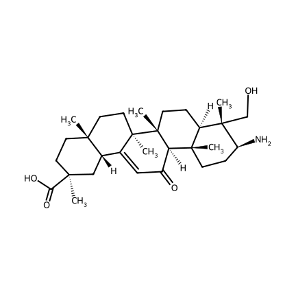 C[C@]1(C(=O)O)CC[C@]2(C)CC[C@]3(C)C(=CC(=O)[C@@H]4[C@@]5(C)CC[C@H](N)[C@@](C)(CO)[C@@H]5CC[C@]43C)[C@@H]2C1